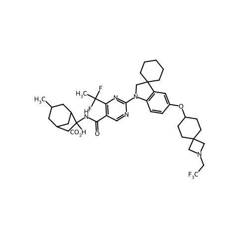 CC1CC2CC(C1)C(NC(=O)c1cnc(N3CC4(CCCCC4)c4cc(OC5CCC6(CC5)CN(CC(F)(F)F)C6)ccc43)nc1C(C)(F)F)(C(=O)O)C2